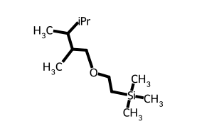 CC(C)C(C)C(C)COCC[Si](C)(C)C